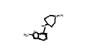 Cc1cc2cccc(NC3CCN(C)CC3)c2s1